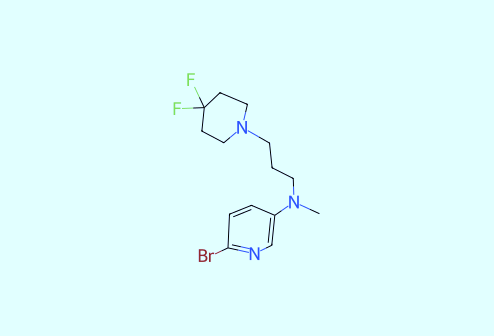 CN(CCCN1CCC(F)(F)CC1)c1ccc(Br)nc1